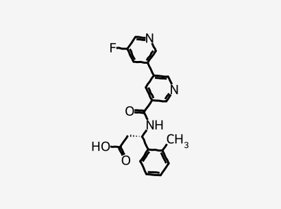 Cc1ccccc1[C@H](CC(=O)O)NC(=O)c1cncc(-c2cncc(F)c2)c1